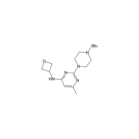 Cc1cc(NC2COC2)nc(N2CCN(C(C)(C)C)CC2)n1